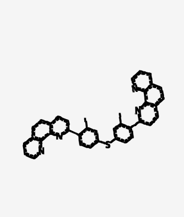 Cc1cc(Sc2ccc(-c3ccc4ccc5cccnc5c4n3)c(C)c2)ccc1-c1ccc2ccc3cccnc3c2n1